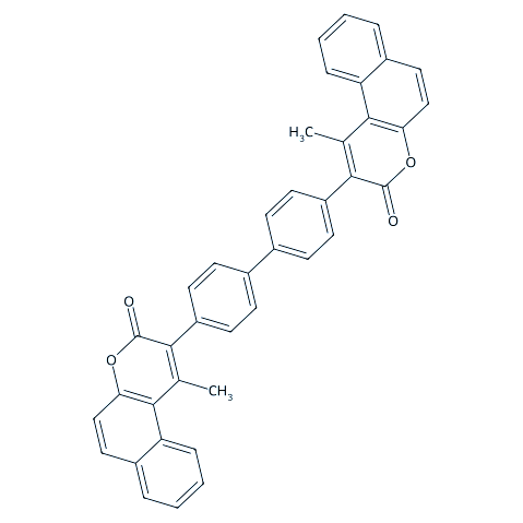 Cc1c(-c2ccc(-c3ccc(-c4c(C)c5c(ccc6ccccc65)oc4=O)cc3)cc2)c(=O)oc2ccc3ccccc3c12